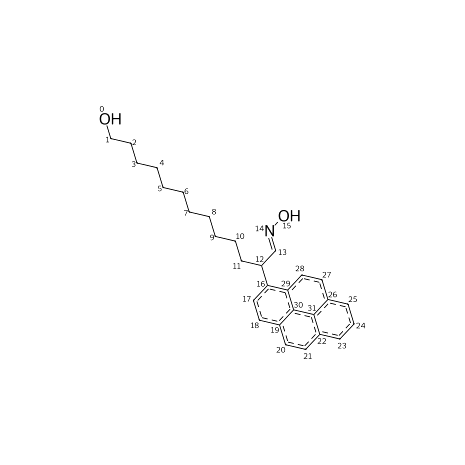 OCCCCCCCCCCCC(C=NO)c1ccc2ccc3cccc4ccc1c2c34